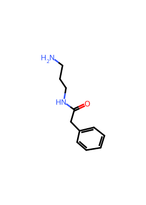 NCCCNC(=O)Cc1ccccc1